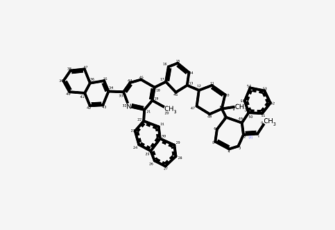 C/C=C1/CC=CCC(C2(C)C=CC(C3C=CC=C(C4=C(C)C(c5ccc6ccccc6c5)=NC(C5=CC6C=CC=CC6C=C5)=CC4)C3)CC2)C1c1ccccc1